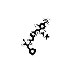 COC(=O)C(Cc1ccccc1)NC(=O)Cc1csc(CC(NC(=O)OC(C)(C)C)c2ccc(S(=O)(=O)O)cc2N)n1